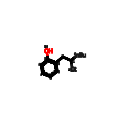 CCCCC(CC)Cc1ccccc1O